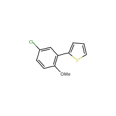 COc1ccc(Cl)cc1-c1cccs1